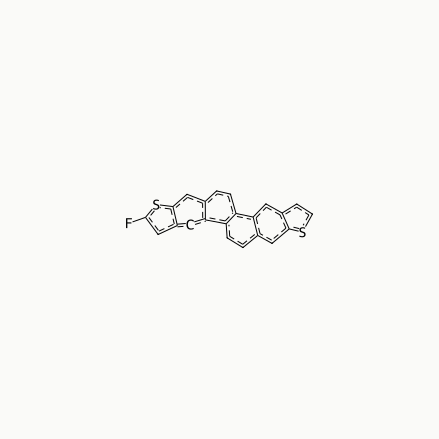 Fc1cc2cc3c(ccc4c5cc6ccsc6cc5ccc34)cc2s1